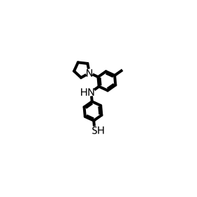 Cc1ccc(Nc2ccc(S)cc2)c(N2CCCC2)c1